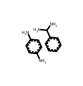 NC(N)c1ccccc1.Nc1ccc(N)cc1